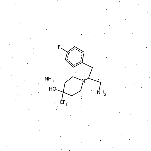 N.NCC(Cc1ccc(F)cc1)N1CCC(O)(C(F)(F)F)CC1